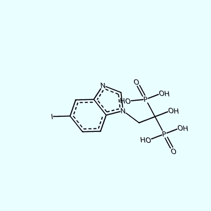 O=P(O)(O)C(O)(Cn1cnc2cc(I)ccc21)P(=O)(O)O